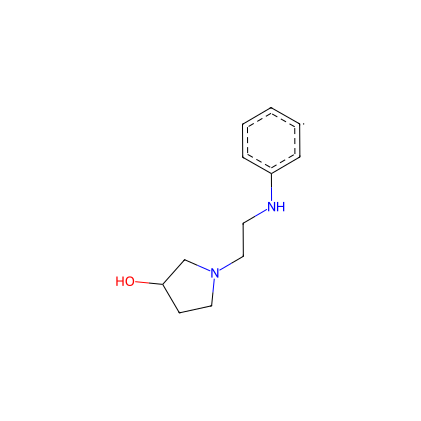 OC1CCN(CCNc2c[c]ccc2)C1